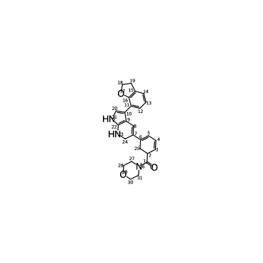 O=C(C1C=CC=C(C2=Cc3c(-c4cccc5c4OCC5)c[nH]c3NC2)C1)N1CCOCC1